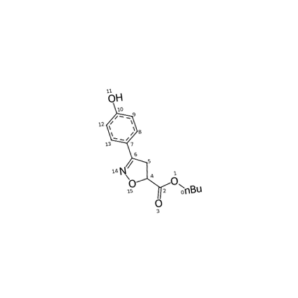 CCCCOC(=O)C1CC(c2ccc(O)cc2)=NO1